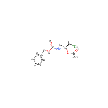 CCCC(=O)O[C@H](CCl)CNC(=O)OCc1ccccc1